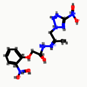 C/C(Cn1nnc([N+](=O)[O-])n1)=N/NC(=O)COc1ccccc1[N+](=O)[O-]